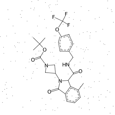 Cc1cccc2c1C(C(=O)NCc1ccc(OC(F)(F)F)cc1)N(C1CN(C(=O)OC(C)(C)C)C1)C2=O